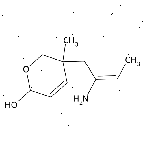 C/C=C(/N)CC1(C)C=CC(O)OC1